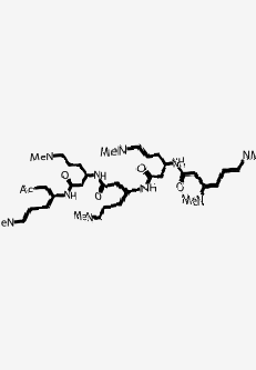 CNCCCC(CC(=O)NC(CCCNC)CC(=O)NC(CCCNC)CC(=O)NC(CCCNC)CC(=O)NC(CCCNC)CC(C)=O)NC